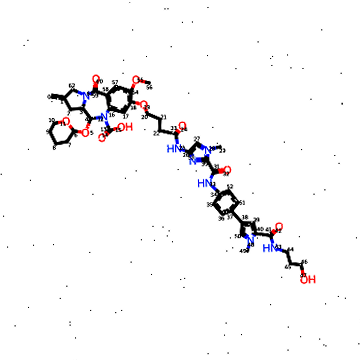 C=C1CC2C(OC3CCCCO3)N(C(=O)O)c3cc(OCCCC(=O)Nc4cn(C)c(C(=O)Nc5ccc(-c6cc(C(=O)NCCCO)n(C)c6)cc5)n4)c(OC)cc3C(=O)N2C1